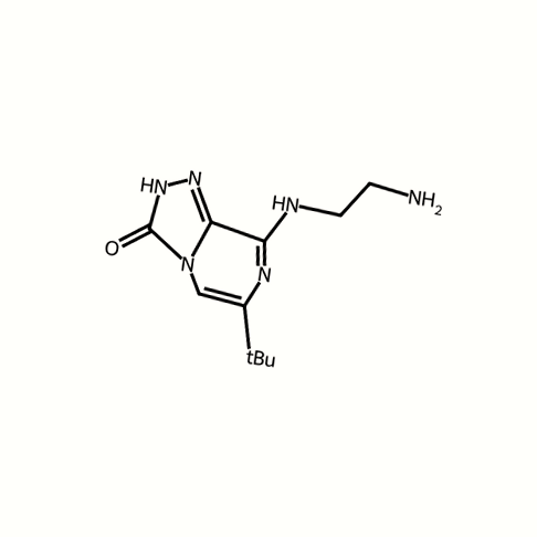 CC(C)(C)c1cn2c(=O)[nH]nc2c(NCCN)n1